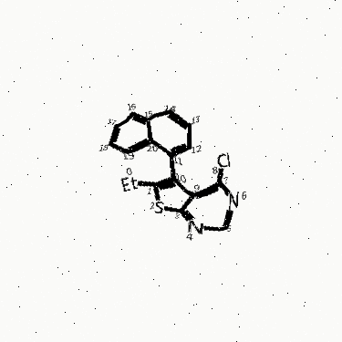 CCc1sc2ncnc(Cl)c2c1-c1cccc2ccccc12